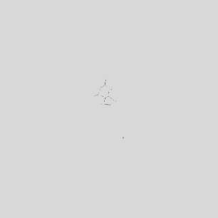 CCCn1c(CCCCC(C)O)nc2c1c(=O)[nH]c(=O)n2C